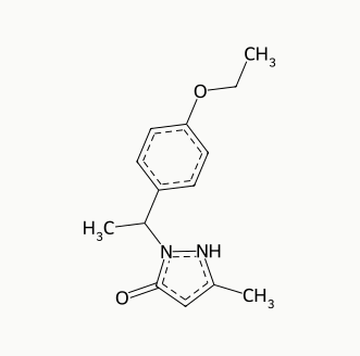 CCOc1ccc(C(C)n2[nH]c(C)cc2=O)cc1